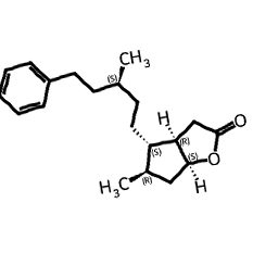 C[C@H](CCc1ccccc1)CC[C@@H]1[C@H]2CC(=O)O[C@H]2C[C@H]1C